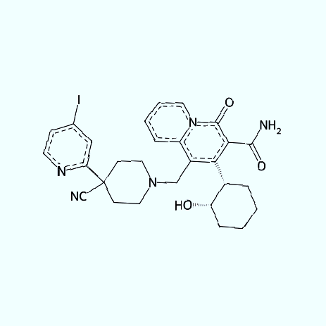 N#CC1(c2cc(I)ccn2)CCN(Cc2c([C@@H]3CCCC[C@@H]3O)c(C(N)=O)c(=O)n3ccccc23)CC1